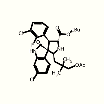 CC(=O)OCC(C)(C)C[C@@H]1N[C@@H](C(=O)OC(C)(C)C)[C@H](c2cccc(Cl)c2F)[C@]12C(=O)Nc1cc(Cl)ccc12